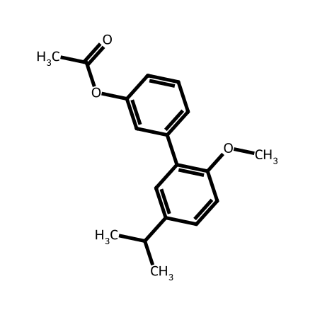 COc1ccc(C(C)C)cc1-c1cccc(OC(C)=O)c1